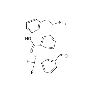 NCCc1ccccc1.O=C(O)c1ccccc1.O=Cc1cccc(C(F)(F)F)c1